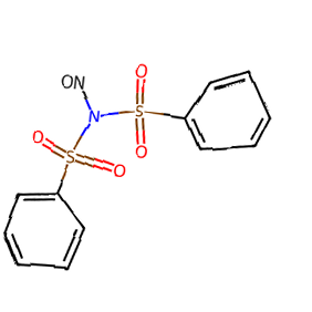 O=NN(S(=O)(=O)c1ccccc1)S(=O)(=O)c1ccccc1